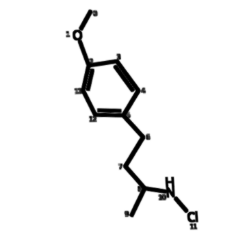 COc1ccc(CCC(C)NCl)cc1